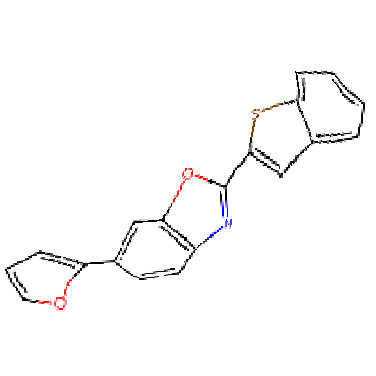 c1coc(-c2ccc3nc(-c4cc5ccccc5s4)oc3c2)c1